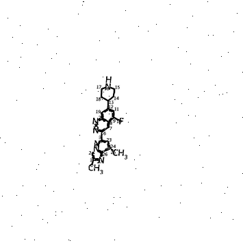 Cc1cn2nc(-c3cc4c(F)cc(C5CCNCC5)cc4nn3)cc(C)c2n1